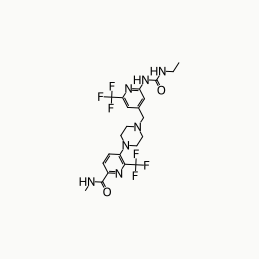 CCNC(=O)Nc1cc(CN2CCN(c3ccc(C(=O)NC)nc3C(F)(F)F)CC2)cc(C(F)(F)F)n1